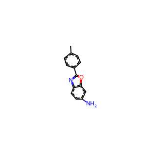 Cc1ccc(-c2nc3ccc(N)cc3o2)cc1